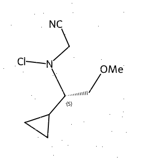 COC[C@H](C1CC1)N(Cl)CC#N